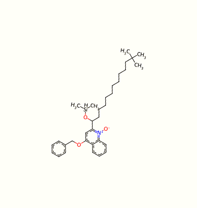 C[SiH](C)OC(CCCCCCCCCCC(C)(C)C)c1cc(OCc2ccccc2)c2ccccc2[n+]1[O-]